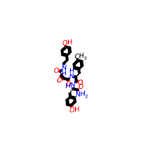 Cc1ccc(C[C@H](NC(=O)C2O[C@@H]2C(=O)NCCc2ccc(O)cc2)C(=O)N[C@@H](Cc2ccc(O)cc2)C(N)=O)cc1